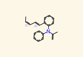 C=C(C)N(c1ccccc1)c1ccccc1/C=C/C=C\C